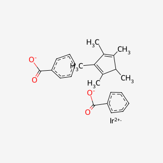 CC1=C(C)C(C)C(C)=C1C.O=C([O-])c1ccccc1.O=C([O-])c1ccccc1.[Ir+2]